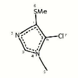 CSc1ncn(C)c1Cl